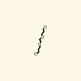 ClCCCOCCOCCCCl